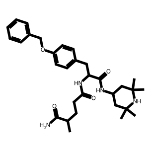 CC(C[CH]C(=O)NC(Cc1ccc(OCc2ccccc2)cc1)C(=O)NC1CC(C)(C)NC(C)(C)C1)C(N)=O